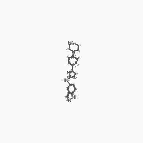 c1cc2[nH]ncc2cc1Nc1nc(-c2ccc(N3CCNCC3)cc2)cs1